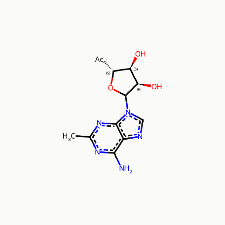 CC(=O)[C@H]1OC(n2cnc3c(N)nc(C)nc32)[C@H](O)[C@@H]1O